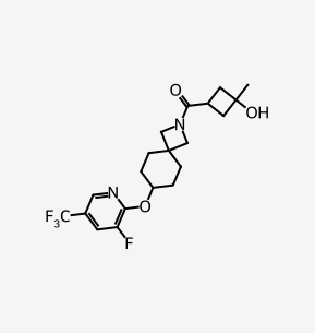 CC1(O)CC(C(=O)N2CC3(CCC(Oc4ncc(C(F)(F)F)cc4F)CC3)C2)C1